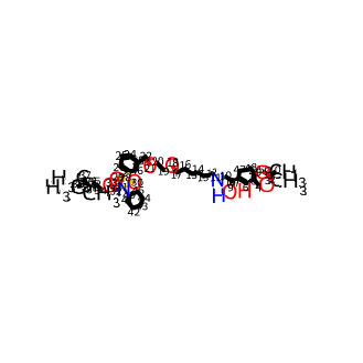 CC1(C)OCc2cc([C@@H](O)CNCCCCCCOCCOCc3cccc(S(=O)(=O)N(COCC[Si](C)(C)C)C4CCCCC4)c3)ccc2O1